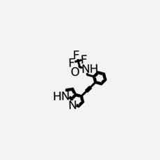 O=C(NCc1ccccc1C#Cc1ccnc2[nH]ccc12)C(F)(F)F